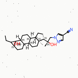 CCC1C2[C@@H]3CC[C@@H]4[C@H](CC[C@@]5(C)[C@H]4CC[C@@H]5[C@@](C)(O)Cn4cc(C#N)cn4)[C@H]3CC[C@]12O